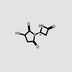 O=C1C[C@@H](N2C(=O)CC(S)C2=O)N1